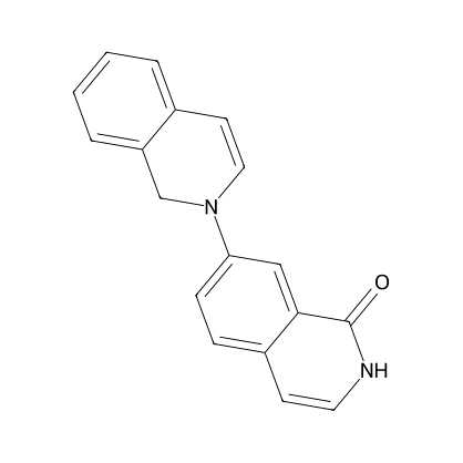 O=c1[nH]ccc2ccc(N3C=Cc4ccccc4C3)cc12